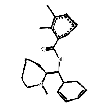 Cc1cccc(C(=O)N[C@@H](C2C=CC=CC2)[C@@H]2CCCCN2C)c1C